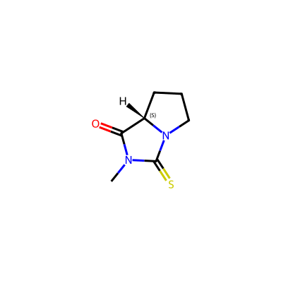 CN1C(=O)[C@@H]2CCCN2C1=S